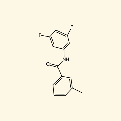 Cc1cccc(C(=O)Nc2cc(F)cc(F)c2)c1